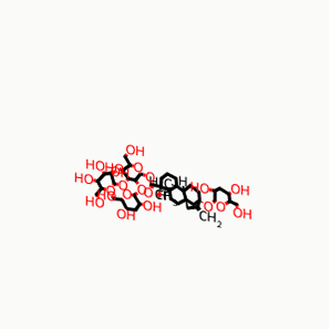 C=C1C[C@@]23CC[C@H]4[C@@](C)(CCC[C@@]4(C)C(=O)OC4OC(CO)C(O)C(OC5OC(CO)C(O)C(O)C5O)C4OC4OC(CO)C(O)CC4O)[C@@H]2CC[C@]1(OC1OC(CO)C(O)CC1O)C3